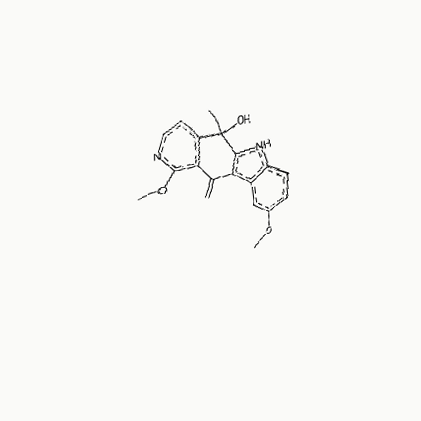 C=C1c2c(ccnc2OC)C(C)(O)c2[nH]c3ccc(OC)cc3c21